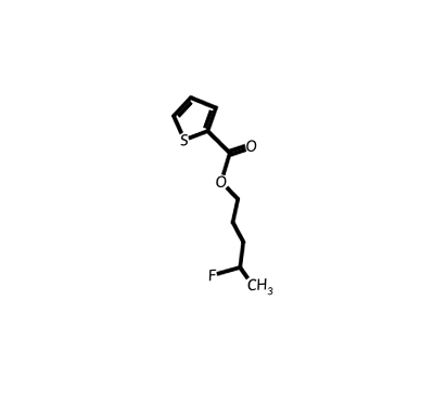 CC(F)CCCOC(=O)c1cccs1